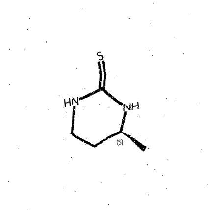 [CH2][C@H]1CCNC(=S)N1